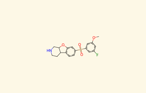 COc1cc(F)cc(S(=O)(=O)c2ccc3c(c2)OC2CNCCC32)c1